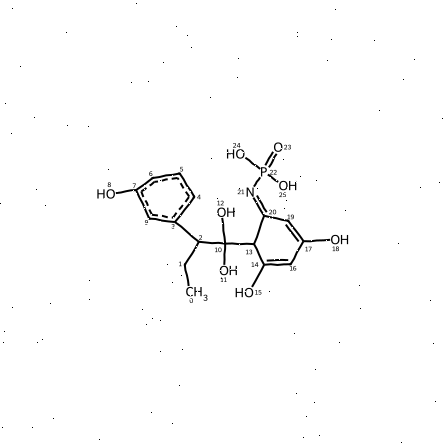 CCC(c1cccc(O)c1)C(O)(O)C1C(O)=CC(O)=CC1=NP(=O)(O)O